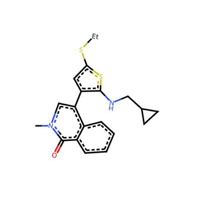 CCSc1cc(-c2cn(C)c(=O)c3ccccc23)c(NCC2CC2)s1